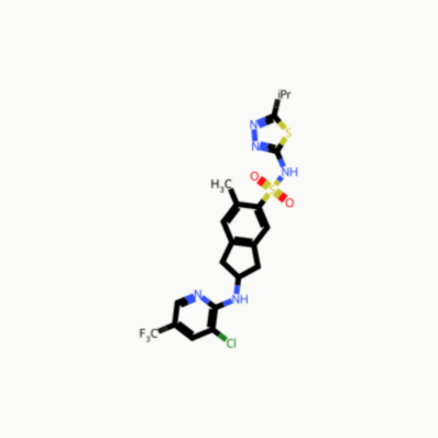 Cc1cc2c(cc1S(=O)(=O)Nc1nnc(C(C)C)s1)CC(Nc1ncc(C(F)(F)F)cc1Cl)C2